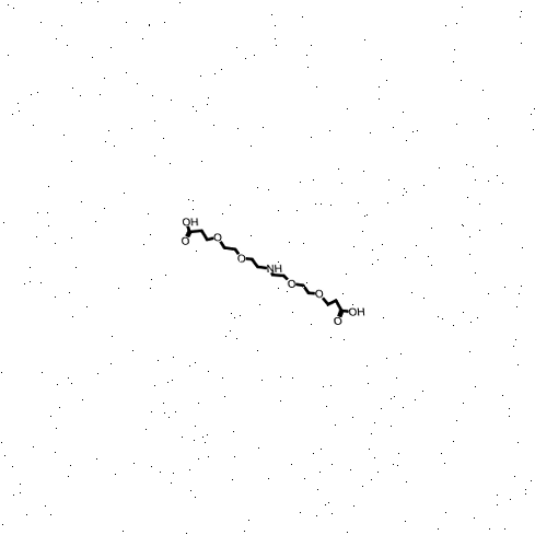 O=C(O)CCOCCOCCNCCOCCOCCC(=O)O